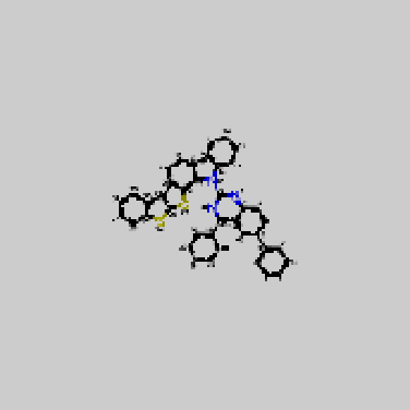 c1ccc(-c2ccc3nc(-n4c5ccccc5c5ccc6c(sc7sc8ccccc8c76)c54)nc(-c4ccccc4)c3c2)cc1